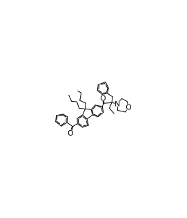 CCCCC1(CCCC)c2cc(C(=O)c3ccccc3)ccc2-c2ccc(C(=O)C(CC)(Cc3ccccc3)N3CCOCC3)cc21